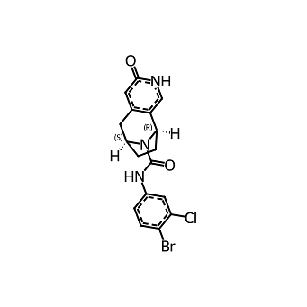 O=C(Nc1ccc(Br)c(Cl)c1)N1[C@H]2CC[C@@H]1c1c[nH]c(=O)cc1C2